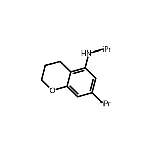 CC(C)Nc1cc(C(C)C)cc2c1CCCO2